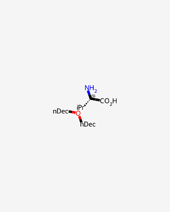 CC(C)[C@H](N)C(=O)O.CCCCCCCCCCOCCCCCCCCCC